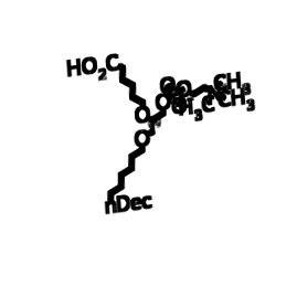 CCCCCCCCCCCCCCCCOC[C@H](COP(=O)([O-])OCC[N+](C)(C)C)OCCCCCC(=O)O